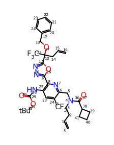 C=CCCN(Cc1nc(-c2nnc(C(CC=C)(OCc3ccccc3)C(F)(F)F)o2)c(NC(=O)OC(C)(C)C)cc1C(F)(F)F)C(=O)C1CCC1